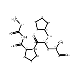 COC(=O)NC(=O)[C@@H]1CCCN1C(=O)[C@H](CC1CCCC1)CN(O)C=O